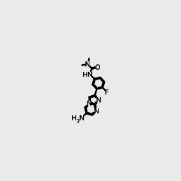 CN(C)C(=O)Nc1ccc(F)c(-c2cn3cc(N)cnc3n2)c1